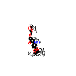 CC1(C)OCC(COc2ccc3c(c2)C(C)(C)c2[nH]c4cc(B5OC(C)(C)C(C)(C)O5)ccc4c2C3=O)O1